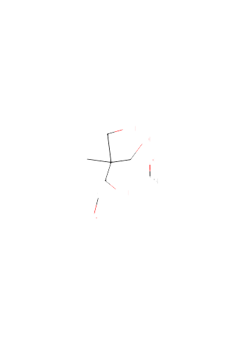 CCC(CO)(CO)CO.CO.N#CO